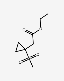 CCOC(=O)CC1(S(C)(=O)=O)CC1